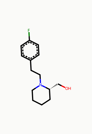 OC[C@@H]1CCCCN1CCc1ccc(F)cc1